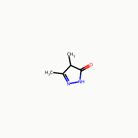 CC1=NNC(=O)C1C